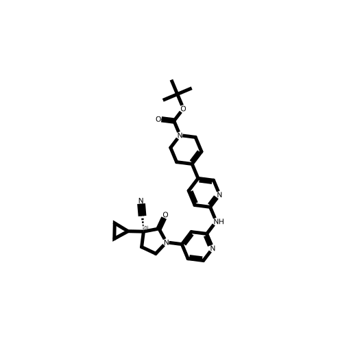 CC(C)(C)OC(=O)N1CC=C(c2ccc(Nc3cc(N4CC[C@@](C#N)(C5CC5)C4=O)ccn3)nc2)CC1